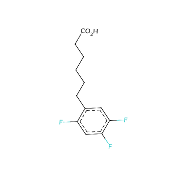 O=C(O)CCCCCc1cc(F)c(F)cc1F